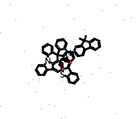 CC1(C)c2ccccc2-c2ccc(N(c3ccc4sc5ccccc5c4c3)c3ccccc3C3(c4ccccc4)c4ccccc4-n4c5ccccc5c5cccc3c54)cc21